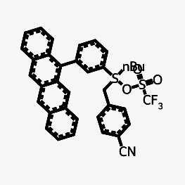 CCCCS(Cc1ccc(C#N)cc1)(OS(=O)(=O)C(F)(F)F)c1cccc(-c2c3ccccc3cc3cc4ccccc4cc23)c1